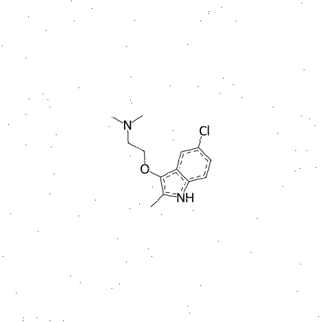 Cc1[nH]c2ccc(Cl)cc2c1OCCN(C)C